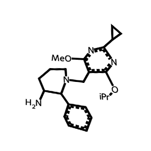 COc1nc(C2CC2)nc(OC(C)C)c1CN1CCCC(N)C1c1ccccc1